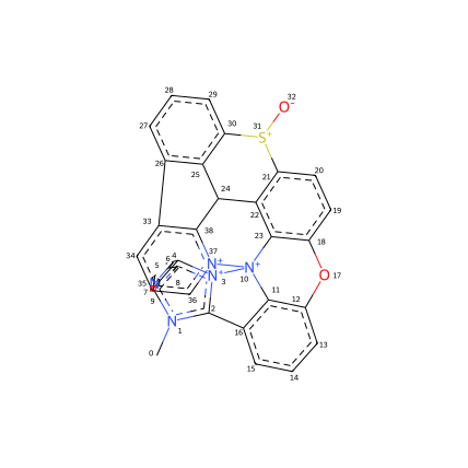 Cn1c2[n+](c3ccncc31)[N+]13c4c(cccc4-2)Oc2ccc4c(c21)C1c2c(cccc2[S+]4[O-])-c2ccc[n+]3c21